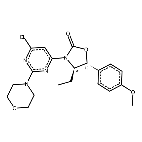 CC[C@@H]1[C@@H](c2ccc(OC)cc2)OC(=O)N1c1cc(Cl)nc(N2CCOCC2)n1